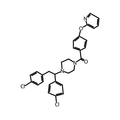 O=C(c1ccc(Oc2ccccn2)cc1)N1CCN(C(Cc2ccc(Cl)cc2)c2ccc(Cl)cc2)CC1